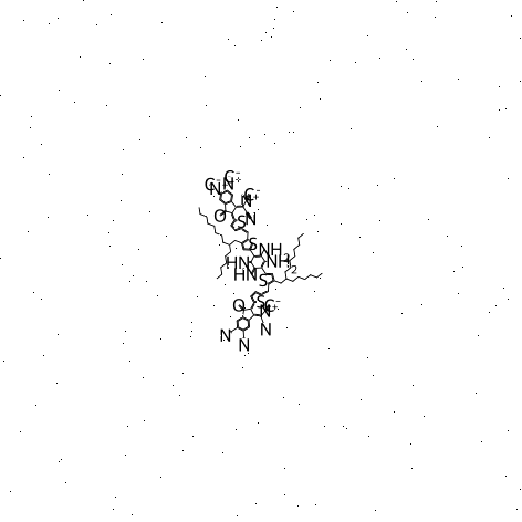 [C-]#[N+]/C(C#N)=C1\C(=c2\cc/c(=C\c3sc(C4=C(N)C(N)=C(c5cc(CC(CCCCCC)CCCCCCCC)c(/C=c6\cc/c(=C7\C(=O)c8cc([N+]#[C-])c([N+]#[C-])cc8\C7=C(\C#N)[N+]#[C-])s6)s5)C(=N)C4=N)cc3CC(CCCCCC)CCCCCCCC)s2)C(=O)c2cc(C#N)c(C#N)cc21